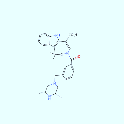 C[C@@H]1CN(Cc2cccc(C(=O)N3C=C(C(=O)O)c4[nH]c5ccccc5c4C(C)(C)C3)c2)C[C@H](C)N1